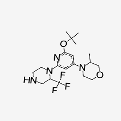 CC1COCCN1c1cc(OC(C)(C)C)nc(N2CCNCC2C(F)(F)F)c1